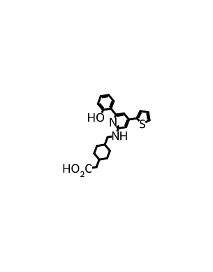 O=C(O)CC1CCC(CNc2cc(-c3cccs3)cc(-c3ccccc3O)n2)CC1